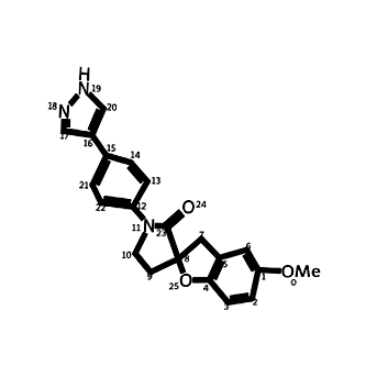 COc1ccc2c(c1)CC1(CCN(c3ccc(-c4cn[nH]c4)cc3)C1=O)O2